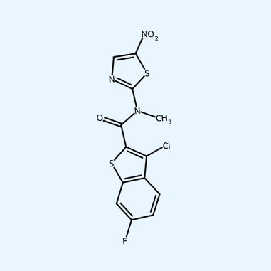 CN(C(=O)c1sc2cc(F)ccc2c1Cl)c1ncc([N+](=O)[O-])s1